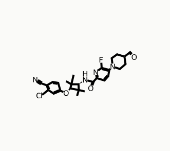 CC1(C)[C@H](NC(=O)c2ccc(N3CCC(C=O)CC3)c(F)n2)C(C)(C)[C@H]1Oc1ccc(C#N)c(Cl)c1